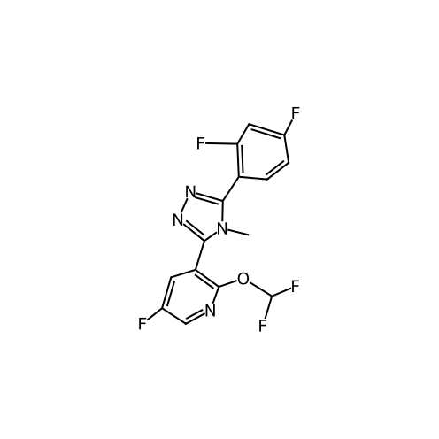 Cn1c(-c2ccc(F)cc2F)nnc1-c1cc(F)cnc1OC(F)F